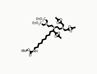 CCOC(=O)CN(CCN(CCN(CC1OC(C)O1)CC1OC(C)O1)C(CCCCCCCCCNC(=O)OC(C)(C)C)C1OC(C)O1)CC(=O)OCC